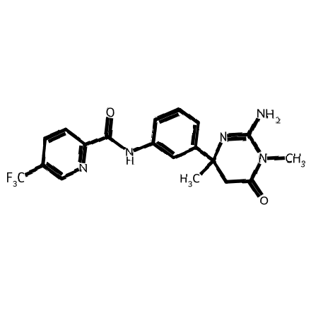 CN1C(=O)CC(C)(c2cccc(NC(=O)c3ccc(C(F)(F)F)cn3)c2)N=C1N